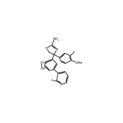 COc1ccc(C2(c3cccc(-c4cccnc4F)c3)COC(N)=N2)cc1F.O=CO